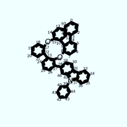 c1ccc(-c2cccc3c2-c2ccccc2Oc2ccccc2-c2cccc(-c4ccc5c6ccccc6n(-c6ccccc6)c5c4)c2O3)cc1